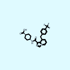 O=C(N[C@H]1CC[C@H](C(=O)O)CC1)c1ncn2cccc(Cc3ccc(C(F)(F)F)cc3)c12